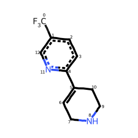 FC(F)(F)c1ccc(C2=CCNCC2)nc1